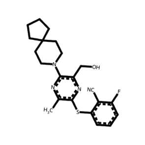 Cc1nc(N2CCC3(CCCC3)CC2)c(CO)nc1Sc1cccc(F)c1C#N